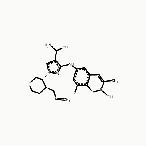 C=NC[C@H]1CCOC[C@@H]1n1cc(C(N)O)c(Nc2cc(F)c3c(c2)C=C(C)B(O)O3)n1